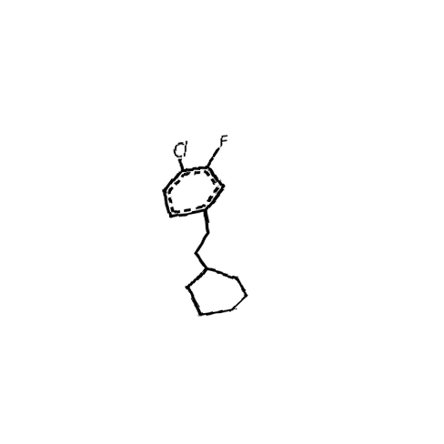 Fc1cc(CCC2CC[CH]CC2)ccc1Cl